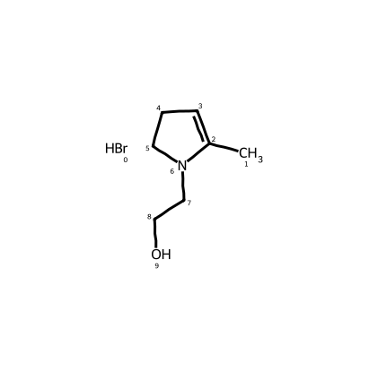 Br.CC1=CCCN1CCO